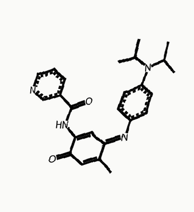 CC1=CC(=O)C(NC(=O)c2cccnc2)=CC1=Nc1ccc(N(C(C)C)C(C)C)cc1